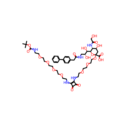 CC(C)(C)OC(=O)NCCOCCOCCOCCOCCNc1c(NCCOCCOCCO[C@]2(C(=O)O)C[C@H](O)[C@@H](NC(=O)CO)[C@H]([C@H](O)[C@H](O)CNC(=O)Cc3ccc(-c4ccccc4)cc3)O2)c(=O)c1=O